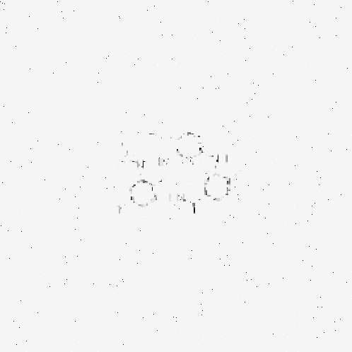 Cc1ccc(C(N)=O)cc1Nc1ncc(C(F)(F)F)c(NCc2ccc(Cl)cc2N(C)[S+](C)[O-])n1